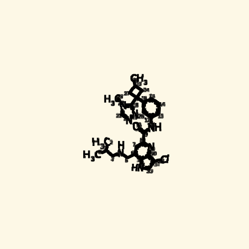 CC(C)CNCc1cc(C(=O)Nc2cccc(C3(c4nncn4C)CC(C)C3)c2)nc2c(Cl)c[nH]c12